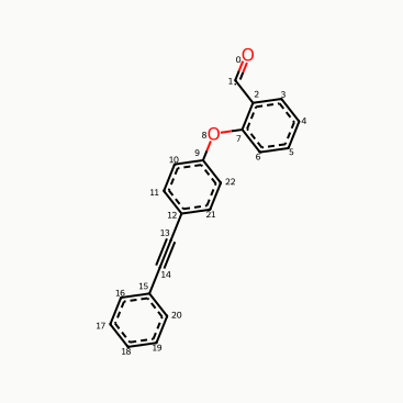 O=[C]c1ccccc1Oc1ccc(C#Cc2ccccc2)cc1